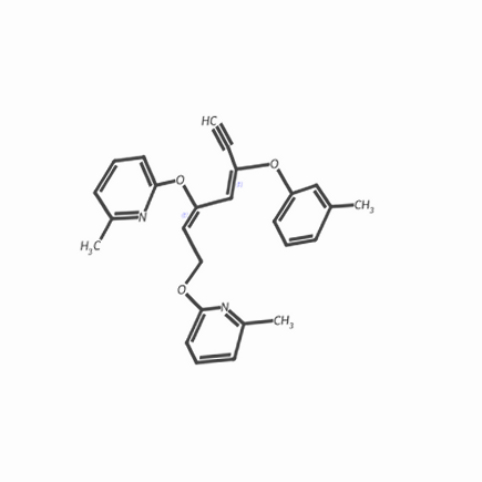 C#C/C(=C\C(=C/COc1cccc(C)n1)Oc1cccc(C)n1)Oc1cccc(C)c1